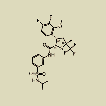 COc1c([C@@H]2C[C@](C)(C(F)(F)F)S[C@H]2C(=O)Nc2cccc(S(=O)(=O)NC(C)C)c2)ccc(F)c1F